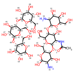 CC(=O)NC1C(OC2C(CO)OC(O)C(N)C2O)OC(CO)C(OC2OC(CO)C(O)C(O)C2N)C1O.OC[C@H]1O[C@@H](O[C@H]2[C@H](O)[C@@H](O)[C@H](O[C@H]3[C@H](O)[C@@H](O)C(O)O[C@@H]3CO)O[C@@H]2CO)[C@H](O)[C@@H](O)[C@@H]1O